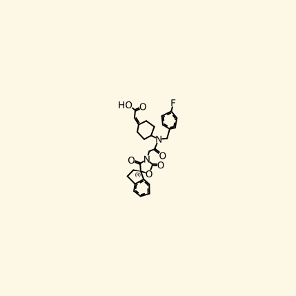 O=C(O)C=C1CCC(N(Cc2ccc(F)cc2)C(=O)CN2C(=O)O[C@@]3(CCc4ccccc43)C2=O)CC1